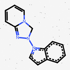 [c]1ccc2ccn(N3CN4C=CC=CC4=N3)c2c1